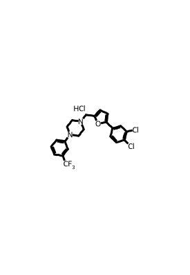 Cl.FC(F)(F)c1cccc(N2CCN(Cc3ccc(-c4ccc(Cl)c(Cl)c4)o3)CC2)c1